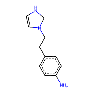 Nc1ccc(CCN2C=CNC2)cc1